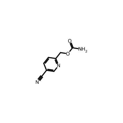 N#Cc1ccc(COC(N)=O)nc1